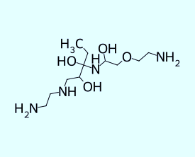 CCC(O)(NC(O)COCCN)C(O)CNCCN